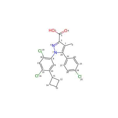 Cc1c(C(=O)O)nn(-c2cc(C3CCC3)c(Cl)cc2Cl)c1-c1ccc(Cl)cc1